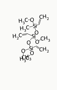 C=C[Si](C)(OC)O[Si](C=C)(OC)O[Si](C=C)(OC)OC